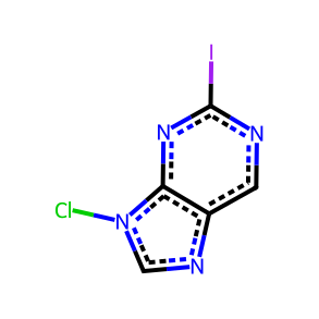 Cln1cnc2cnc(I)nc21